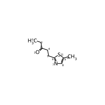 CCC(=O)CCc1ncc(C)s1